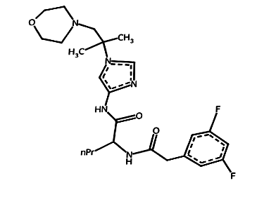 CCCC(NC(=O)Cc1cc(F)cc(F)c1)C(=O)Nc1cn(C(C)(C)CN2CCOCC2)cn1